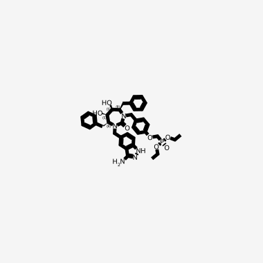 CCOP(=O)(COc1ccc(CN2C(=O)N(Cc3ccc4[nH]nc(N)c4c3)[C@H](Cc3ccccc3)[C@H](O)[C@@H](O)[C@H]2Cc2ccccc2)cc1)OCC